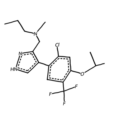 CCCN(C)Cc1n[nH]cc1-c1cc(C(F)(F)F)c(OC(C)C)cc1Cl